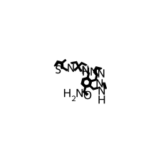 Cc1ccsc1CN1CCC2(CCN(Cc3ccc(C(N)=O)c(Cc4ncc[nH]4)c3Cc3ncc[nH]3)C2)C1